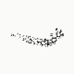 CCCCCC1COC(C2CCC(c3ccc(C(F)(F)Oc4ccc(-c5cc(F)c(F)c(F)c5)c(F)c4)c(F)c3)CC2)OC1